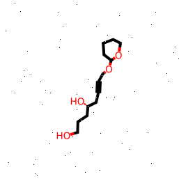 OCCC[C@H](O)CC#CCOC1CCCCO1